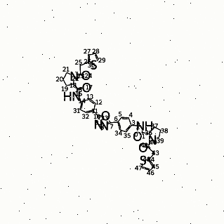 O=C(Nc1ccc(-c2nnc(-c3ccc(NC(=O)C4CCCN4C(=O)Cc4cccs4)cc3)o2)cc1)C1CCCN1C(=O)Cc1cccs1